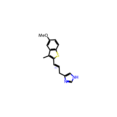 COc1ccc2sc(/C=C/Cc3c[nH]cn3)c(C)c2c1